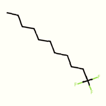 CCCCCCCCCCC(F)(F)F